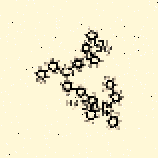 CC1(C)c2ccccc2-c2ccc3c(c21)c1ccccc1n3-c1ccc(-c2nc(-c3cccc(-c4ccccc4)c3)nc(-c3cccc(-c4ccc5c(c4)C(C)(C)c4c-5ccc5c4c4ccccc4n5-c4nc(-c5ccccc5)nc(-c5cccc(-c6ccccc6)c5)n4)c3)n2)cc1